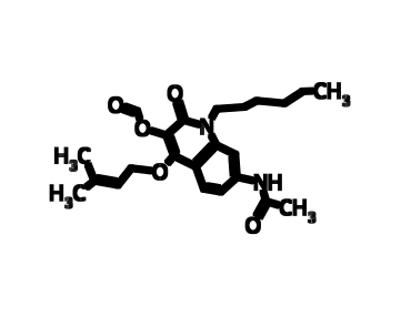 CCCCCCn1c(=O)c(OC=O)c(OCC=C(C)C)c2ccc(NC(C)=O)cc21